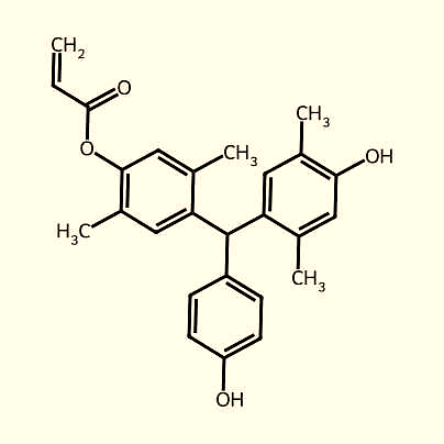 C=CC(=O)Oc1cc(C)c(C(c2ccc(O)cc2)c2cc(C)c(O)cc2C)cc1C